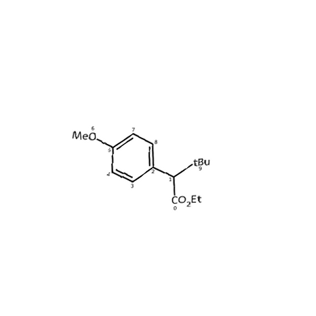 CCOC(=O)C(c1ccc(OC)cc1)C(C)(C)C